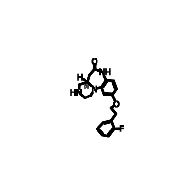 O=C1C[C@H]2CNCCN2c2cc(OCCc3ccccc3F)ccc2N1